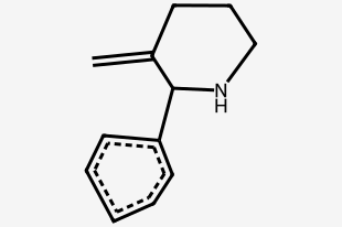 C=C1CCCNC1c1ccccc1